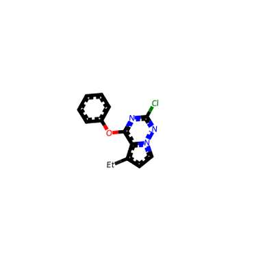 CCc1ccn2nc(Cl)nc(Oc3ccccc3)c12